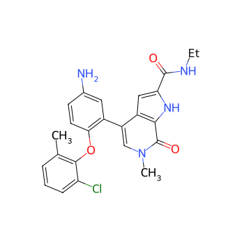 CCNC(=O)c1cc2c(-c3cc(N)ccc3Oc3c(C)cccc3Cl)cn(C)c(=O)c2[nH]1